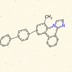 Cc1cc(-c2ccc(-c3ccccc3)cc2)cc2c3ccccc3c3nccn3c12